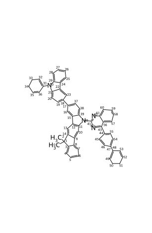 CC1(C)c2ccccc2-c2cc3c(cc21)c1cc(-c2ccc4c(c2)c2ccccc2n4C2=CCCC=C2)ccc1n3-c1nc(-c2ccc(C3=CCCC=C3)cc2)c2ccccc2n1